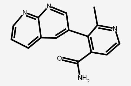 Cc1nccc(C(N)=O)c1-c1cnc2ncccc2c1